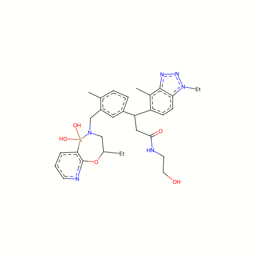 CCC1CN(Cc2cc(C(CC(=O)NCCO)c3ccc4c(nnn4CC)c3C)ccc2C)S(O)(O)c2cccnc2O1